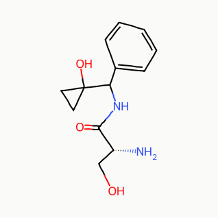 N[C@H](CO)C(=O)NC(c1ccccc1)C1(O)CC1